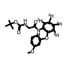 [2H]c1c([2H])c([2H])c(Oc2cccc(OC)c2)c(NC(=O)CNC(=O)OC(C)(C)C)c1[2H]